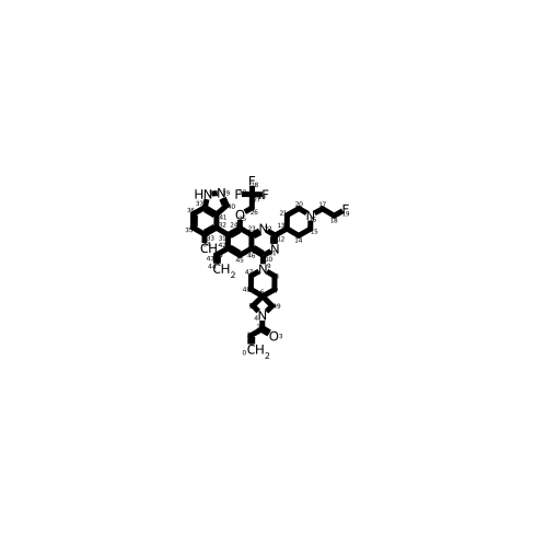 C=CC(=O)N1CC2(CCN(c3nc(C4CCN(CCF)CC4)nc4c(OCC(F)(F)F)c(-c5c(C)ccc6[nH]ncc56)c(C=C)cc34)CC2)C1